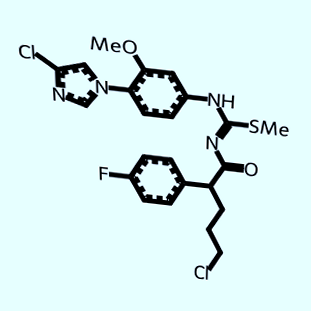 COc1cc(NC(=NC(=O)C(CCCCl)c2ccc(F)cc2)SC)ccc1-n1cnc(Cl)c1